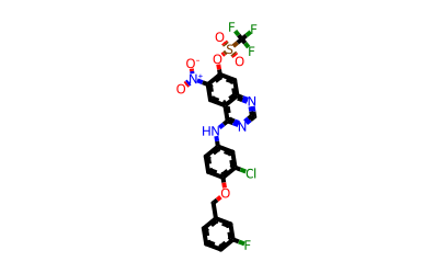 O=[N+]([O-])c1cc2c(Nc3ccc(OCc4cccc(F)c4)c(Cl)c3)ncnc2cc1OS(=O)(=O)C(F)(F)F